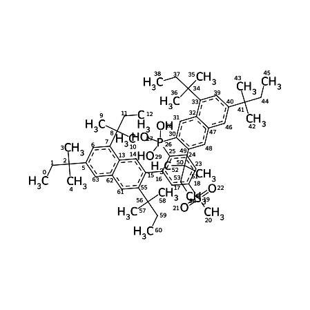 CCC(C)(C)c1cc(C(C)(C)CC)c2cc(-c3cc(S(C)(=O)=O)ccc3P(O)(O)(O)c3cc4c(C(C)(C)CC)cc(C(C)(C)CC)cc4cc3C(C)(C)CC)c(C(C)(C)CC)cc2c1